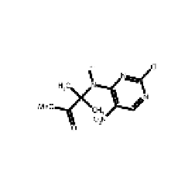 COC(=O)C(C)(C)N(c1nc(Cl)ncc1[N+](=O)[O-])C(C)C